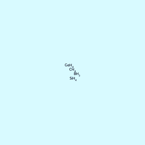 B.C.[GeH4].[SiH4]